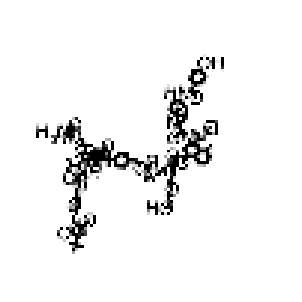 Cc1cccc2c(OC(=O)N(CCOCCO)CCN(C)C(=O)OCc3ccc(NC(=O)[C@H](CCCNC(N)=O)NC(=O)C(NC(=O)OCCOCCN4C(=O)CC(C(C)(C)C)C4=O)C(C)C)cc3)cc3c(c12)[C@H](CCl)CN3C(=O)c1cn2cc(NC(=O)c3ccc(O)cc3)ccc2n1